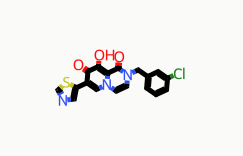 O=c1c(-c2cncs2)cn2ccn(Cc3cccc(Cl)c3)c(=O)c2c1O